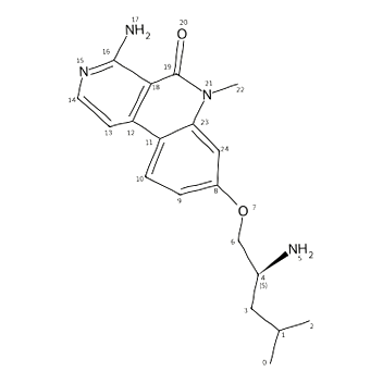 CC(C)C[C@H](N)COc1ccc2c3ccnc(N)c3c(=O)n(C)c2c1